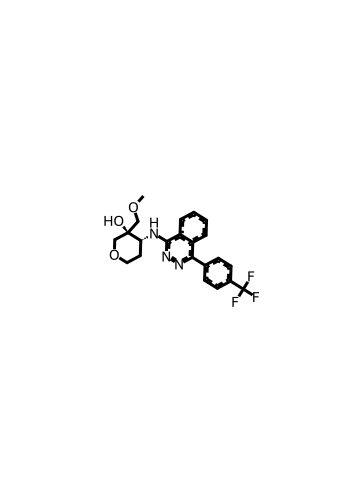 COC[C@@]1(O)COCC[C@H]1Nc1nnc(-c2ccc(C(F)(F)F)cc2)c2ccccc12